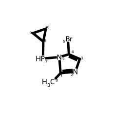 Cc1ncc(Br)n1PC1CC1